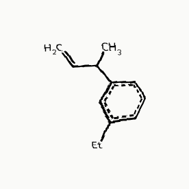 C=C[C](C)c1cccc(CC)c1